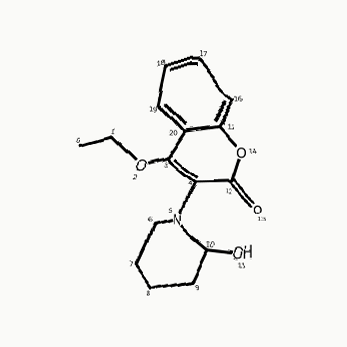 CCOc1c(N2CCCCC2O)c(=O)oc2ccccc12